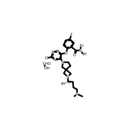 CCN(C(=O)c1cc(F)ccc1Oc1nnc(Cl)nc1N1CCC2(C1)CN([C@H](CCCN(C)C)C(C)C)C2)C(C)C.O=CO